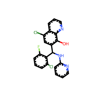 Oc1c(C(Nc2ccccn2)c2c(F)cccc2Cl)cc(Cl)c2cccnc12